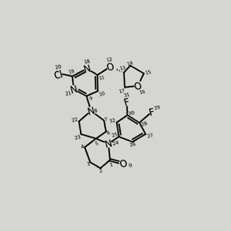 O=C1CCCC2(CCN(c3cc(O[C@@H]4CCOC4)nc(Cl)n3)CC2)N1c1ccc(F)c(F)c1